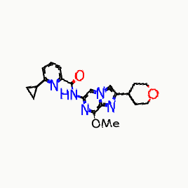 COc1nc(NC(=O)c2cccc(C3CC3)n2)cn2cc(C3CCOCC3)nc12